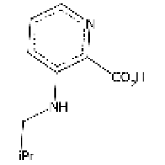 CC(C)CNc1cccnc1C(=O)O